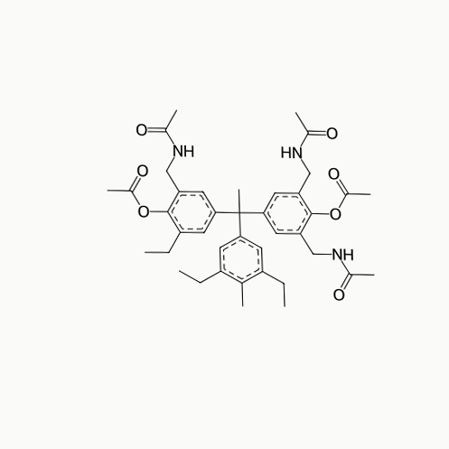 CCc1cc(C(C)(c2cc(CC)c(OC(C)=O)c(CNC(C)=O)c2)c2cc(CNC(C)=O)c(OC(C)=O)c(CNC(C)=O)c2)cc(CC)c1C